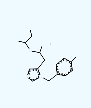 CC(C)CC(NC(Cc1cncn1Cc1ccc(C(F)(F)F)cc1)C(=O)O)C(=O)O